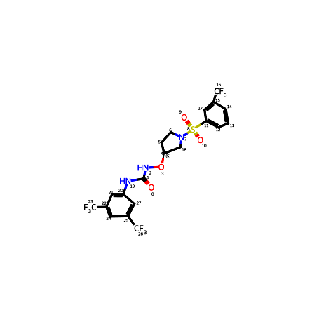 O=C(NO[C@H]1CCN(S(=O)(=O)c2cccc(C(F)(F)F)c2)C1)Nc1cc(C(F)(F)F)cc(C(F)(F)F)c1